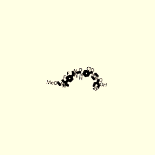 COCCn1nc(C)c(-c2ccc(-c3cnc(C(=O)Nc4ccc(C(=O)N5CCN(C(=O)C6CC[N+](C)(C)CC6O)CC5)c(Cl)c4)n3C)c(F)c2F)c1C